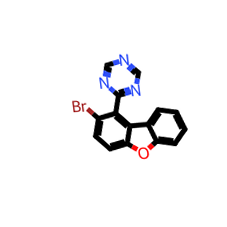 Brc1ccc2oc3ccccc3c2c1-c1ncncn1